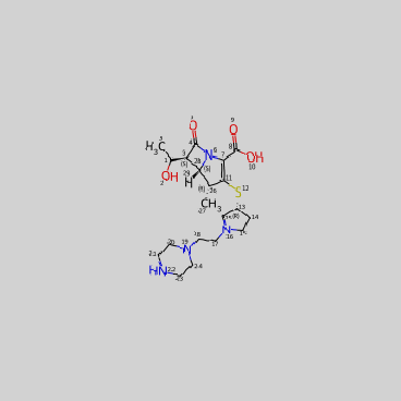 CC(O)[C@H]1C(=O)N2C(C(=O)O)=C(S[C@@H]3CCN(CCN4CCNCC4)C3)[C@H](C)[C@H]12